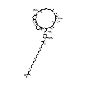 CCNC(=O)CCOCCOCCOCCOCCOCCNC(=O)O[C@@H]1CC[C@@H](C[C@@H](N)[C@@H]2CC(=O)[C@H](C)/C=C(\C)[C@@H](O)[C@@H](OC)C(=O)[C@H](C)C[C@H](C)/C=C/C=C/C=C(\C)[C@@H](OC)C[C@@H]3CC[C@@H](C)[C@@](O)(O3)C(=O)C(=O)N3CCCC[C@H]3C(=O)O2)C[C@H]1OC